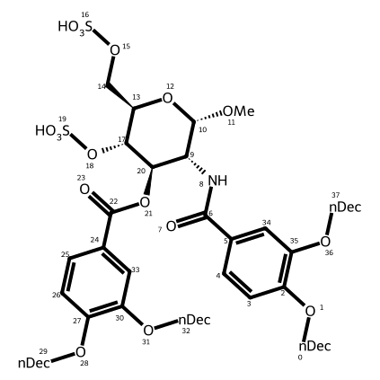 CCCCCCCCCCOc1ccc(C(=O)N[C@H]2[C@@H](OC)O[C@H](COS(=O)(=O)O)[C@@H](OS(=O)(=O)O)[C@@H]2OC(=O)c2ccc(OCCCCCCCCCC)c(OCCCCCCCCCC)c2)cc1OCCCCCCCCCC